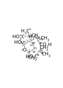 C[C@@H]1O[C@@H](O)[C@H](C(C)(C)C(=O)O)[C@H](C(C)(C)C(=O)O)[C@@H]1C(C)(C)C(=O)O